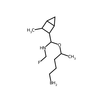 BCCCC(C)OC(NCF)C1C(C)C2CC21